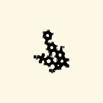 Cc1nc2c(=O)[nH]c3cc(F)c(-c4ccc(Oc5ncccn5)cc4Cl)cc3c2n1C1CCN(S(C)(=O)=O)CC1